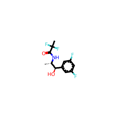 C[C@H](NC(=O)C(C)(F)F)[C@H](O)c1cc(F)cc(F)c1